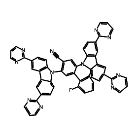 N#Cc1cc(-n2c3ccc(-c4ncccn4)cc3c3cc(-c4ncccn4)ccc32)c(-c2c(F)cccc2F)cc1-n1c2ccc(-c3ncccn3)cc2c2cc(-c3ncccn3)ccc21